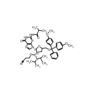 COc1ccc(C(OCC2C[C@@H](P(OCCC#N)N(C(C)C)C(C)C)[C@H](n3cnc4c(=O)[nH]c(NC(=O)C(C)C)nc43)O2)(c2ccccc2)c2ccc(OC)cc2)cc1